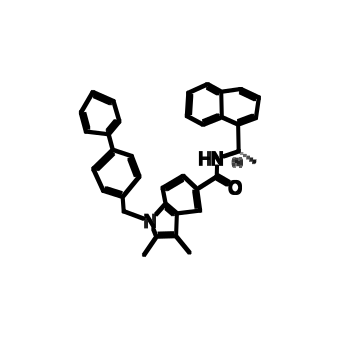 Cc1c(C)n(Cc2ccc(-c3ccccc3)cc2)c2ccc(C(=O)N[C@@H](C)c3cccc4ccccc34)cc12